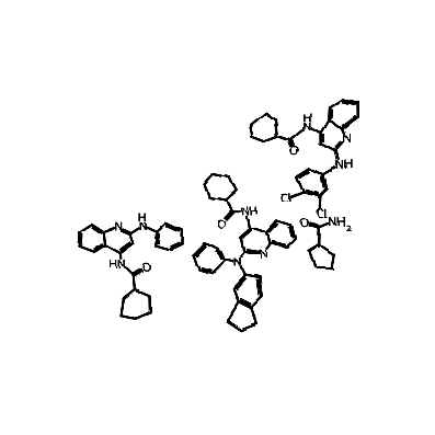 NC(=O)C1CCCC1.O=C(Nc1cc(N(c2ccccc2)c2ccc3c(c2)CCC3)nc2ccccc12)C1CCCCC1.O=C(Nc1cc(Nc2ccc(Cl)c(Cl)c2)nc2ccccc12)C1CCCCC1.O=C(Nc1cc(Nc2ccccc2)nc2ccccc12)C1CCCCC1